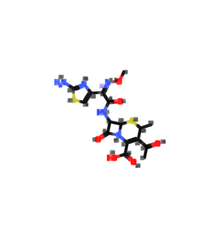 CO/N=C(\C(=O)NC1C(=O)N2C(C(=O)O)=C(C(C)=O)C(C)SC12)c1csc(N)n1